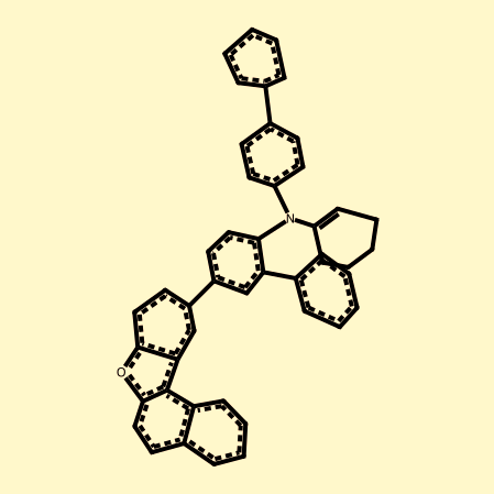 C1=C(N(c2ccc(-c3ccccc3)cc2)c2ccc(-c3ccc4oc5ccc6ccccc6c5c4c3)cc2-c2ccccc2)CCCC1